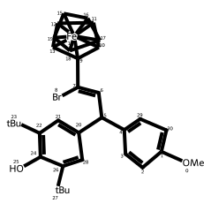 COc1ccc(C(C=C(Br)[C]23[CH]4[CH]5[CH]6[CH]2[Fe]56432789[CH]3[CH]2[CH]7[CH]8[CH]39)c2cc(C(C)(C)C)c(O)c(C(C)(C)C)c2)cc1